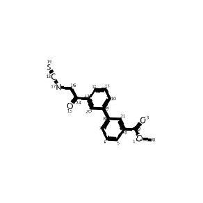 COC(=O)c1cccc(-c2cccc(C(=O)CN=C=S)c2)c1